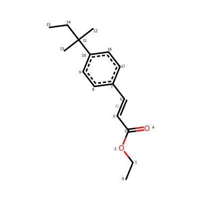 CCOC(=O)/C=C/c1ccc(C(C)(C)CC)cc1